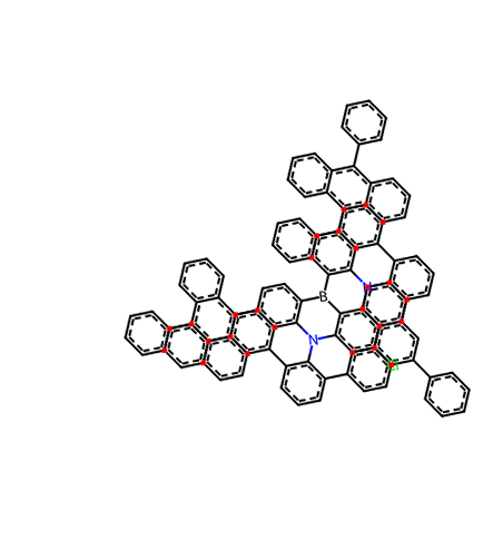 Clc1cc2c3c(c1)N(c1c(-c4cccc(-c5ccccc5)c4)cccc1-c1cccc(-c4ccccc4)c1)c1cc(-c4c5ccccc5c(-c5ccccc5)c5ccccc45)ccc1B3c1ccc(-c3c4ccccc4c(-c4ccccc4)c4ccccc34)cc1N2c1c(-c2cccc(-c3ccccc3)c2)cccc1-c1cccc(-c2ccccc2)c1